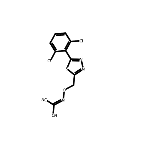 N#CC(C#N)=NOCc1nnc(-c2c(Cl)cccc2Cl)s1